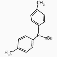 CCCCP(c1ccc(C)cc1)c1ccc(C)cc1